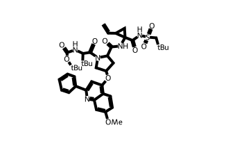 C=CC1CC1(NC(=O)C1CC(Oc2cc(-c3ccccc3)nc3cc(OC)ccc23)CN1C(=O)C(NC(=O)OC(C)(C)C)C(C)(C)C)C(=O)NS(=O)(=O)CC(C)(C)C